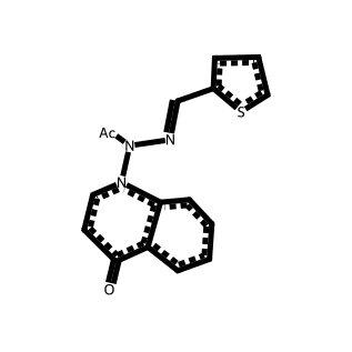 CC(=O)N(N=Cc1cccs1)n1ccc(=O)c2ccccc21